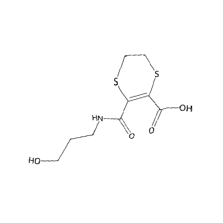 O=C(O)C1=C(C(=O)NCCCO)SCCS1